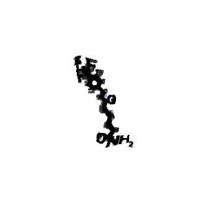 NC(=O)CCCCC(=O)/C=C/c1ccc(C(F)(F)F)cc1